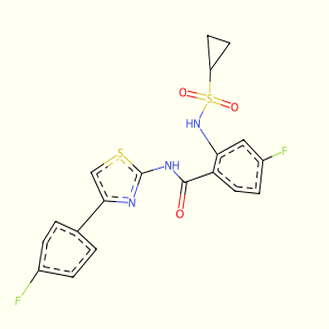 O=C(Nc1nc(-c2ccc(F)cc2)cs1)c1ccc(F)cc1NS(=O)(=O)C1CC1